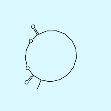 CC1CCCCCCCCCCC(=O)OCCOC1=O